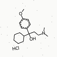 COc1ccc(C(O)(CCN(C)C)C2CCCCC2)cc1.Cl